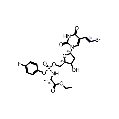 CCOC(=O)[C@H](C)NP(=O)(OC[C@H]1O[C@@H](n2cc(/C=C/Br)c(=O)[nH]c2=O)CC1O)Oc1ccc(F)cc1